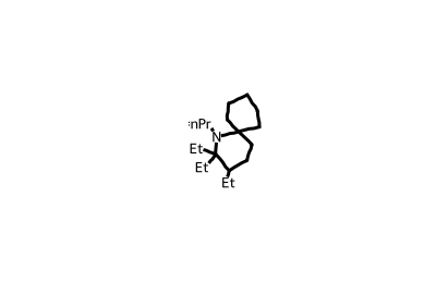 CC[C]N1C2(CCCCC2)CCC(CC)C1(CC)CC